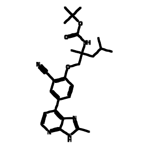 Cc1nc2c(-c3ccc(OCC(C)(CC(C)C)NC(=O)OC(C)(C)C)c(C#N)c3)ccnc2[nH]1